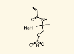 C=CC(=O)NC(C)(C)CO[SH](=O)=O.[NaH]